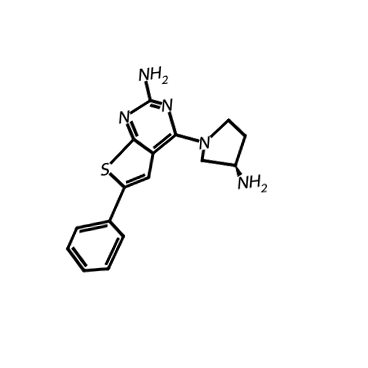 Nc1nc(N2CC[C@@H](N)C2)c2cc(-c3ccccc3)sc2n1